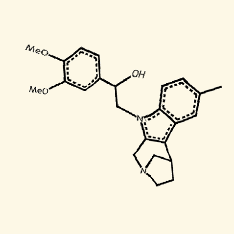 COc1ccc(C(O)Cn2c3c(c4cc(C)ccc42)C2CCN(C3)C2)cc1OC